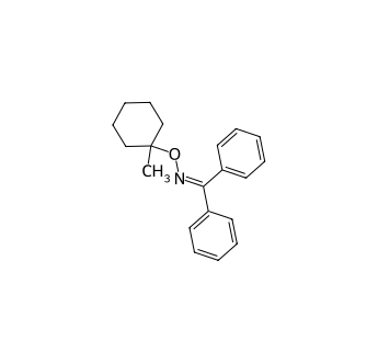 CC1(ON=C(c2ccccc2)c2ccccc2)CCCCC1